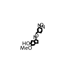 COc1cc2c(cc1O)C(=NOCc1ccc3nonc3c1)CC2